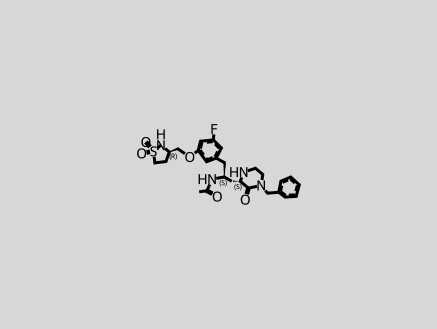 CC(=O)N[C@@H](Cc1cc(F)cc(OC[C@H]2CCS(=O)(=O)N2)c1)C[C@@H]1NCCN(Cc2ccccc2)C1=O